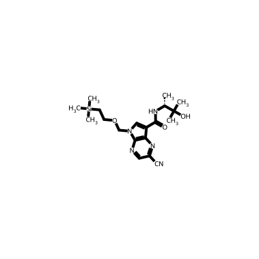 C[C@@H](NC(=O)c1cn(COCC[Si](C)(C)C)c2ncc(C#N)nc12)C(C)(C)O